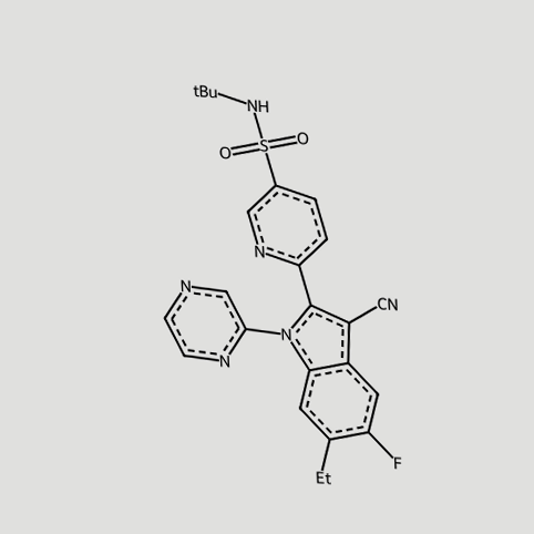 CCc1cc2c(cc1F)c(C#N)c(-c1ccc(S(=O)(=O)NC(C)(C)C)cn1)n2-c1cnccn1